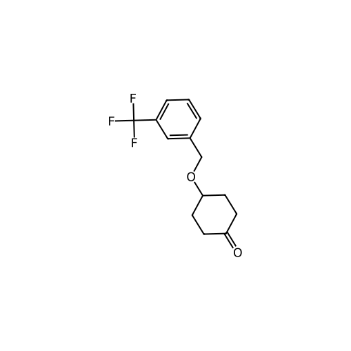 O=C1CCC(OCc2cccc(C(F)(F)F)c2)CC1